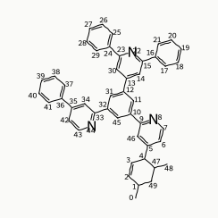 CC1C=CC(c2ccnc(-c3cc(-c4cc(-c5ccccc5)nc(-c5ccccc5)c4)cc(-c4cc(-c5ccccc5)ccn4)c3)c2)C(C)C1